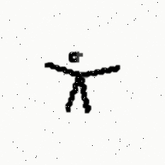 CCCCCCCCCCC[N+](CCCCCCCCCC)(CCCCCCCCCC)CCCCCCCCCC.[Cl-]